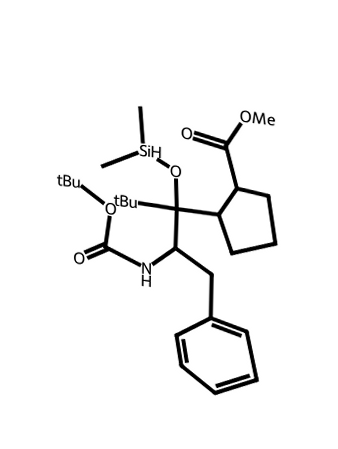 COC(=O)C1CCCC1C(O[SiH](C)C)(C(Cc1ccccc1)NC(=O)OC(C)(C)C)C(C)(C)C